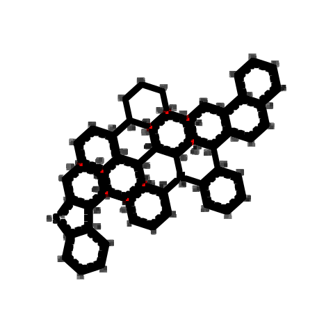 c1cc(-c2cccc3sc4ccccc4c23)cc(N(c2ccccc2-c2cccc3c2ccc2ccccc23)c2ccccc2-c2cccc3cccc(C4CCCCC4)c23)c1